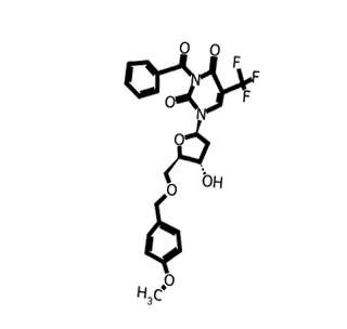 COc1ccc(COC[C@H]2O[C@@H](n3cc(C(F)(F)F)c(=O)n(C(=O)c4ccccc4)c3=O)C[C@@H]2O)cc1